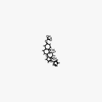 CC(=O)OC1CCC2(C)C(CCC3C4CC=C(n5ccnn5)C4(C)CCC32)C1